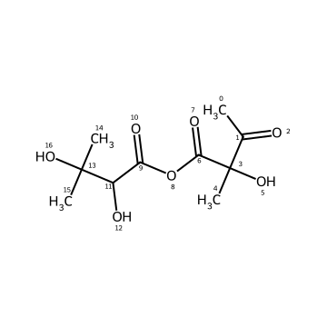 CC(=O)C(C)(O)C(=O)OC(=O)C(O)C(C)(C)O